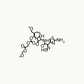 COCOC(=O)COC(=O)OC1=C(COC)CS[C@H]2C(NC(=O)/C(=N\O)c3csc(N)n3)C(=O)N12